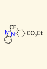 CCOC(=O)C1CCC(n2c(C(F)(F)F)nc3ccccc32)CC1